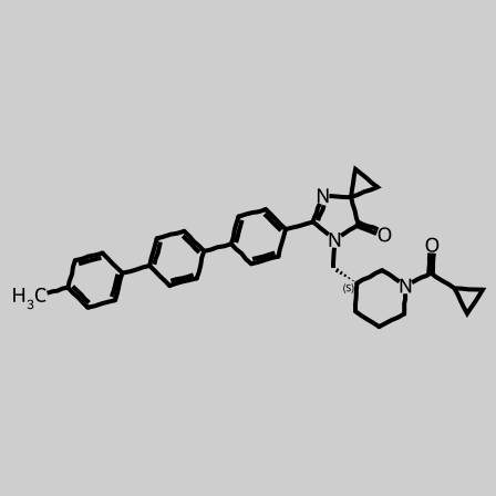 Cc1ccc(-c2ccc(-c3ccc(C4=NC5(CC5)C(=O)N4C[C@H]4CCCN(C(=O)C5CC5)C4)cc3)cc2)cc1